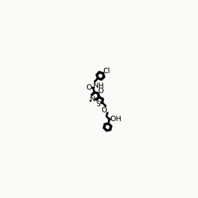 Cn1cc(C(=O)NCc2ccc(Cl)cc2)c(=O)c2cc(COCC[C@@H](O)c3ccccc3)sc21